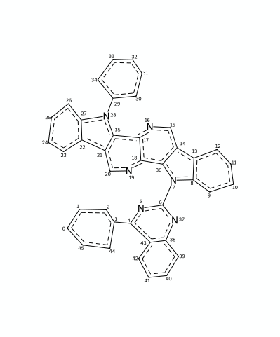 c1ccc(-c2nc(-n3c4ccccc4c4cnc5c(ncc6c7ccccc7n(-c7ccccc7)c65)c43)nc3ccccc23)cc1